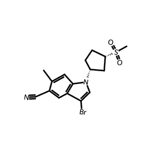 Cc1cc2c(cc1C#N)c(Br)cn2[C@@H]1CC[C@H](S(C)(=O)=O)C1